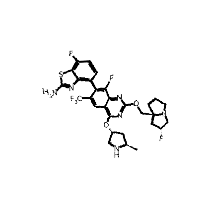 C[C@@H]1C[C@@H](Oc2nc(OC[C@@]34CCCN3C[C@H](F)C4)nc3c(F)c(-c4ccc(F)c5sc(N)nc45)c(C(F)(F)F)cc23)CN1